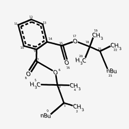 CCCCC(C)C(C)(C)OC(=O)c1ccccc1C(=O)OC(C)(C)C(C)CCCC